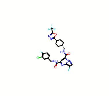 O=C(NCc1ccc(F)c(Cl)c1)c1cc(C(=O)NC[C@H]2CC[C@H](c3nnc(C(F)(F)F)o3)CC2)n2ncc(F)c2n1